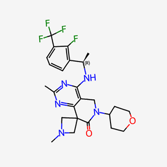 Cc1nc(N[C@H](C)c2cccc(C(F)(F)F)c2F)c2c(n1)C1(CN(C)C1)C(=O)N(C1CCOCC1)C2